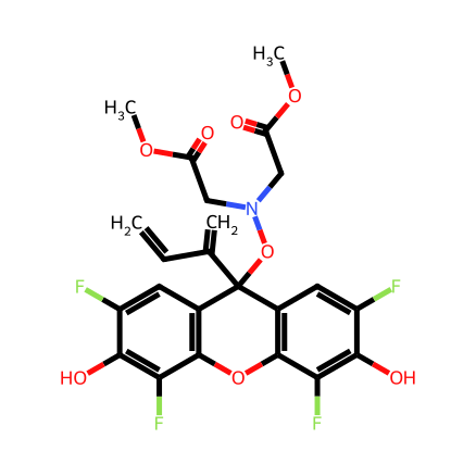 C=CC(=C)C1(ON(CC(=O)OC)CC(=O)OC)c2cc(F)c(O)c(F)c2Oc2c1cc(F)c(O)c2F